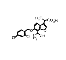 CC(O)c1c(OCc2ccc(Cl)cc2Cl)ccc2c(C(C)C(=O)O)coc12